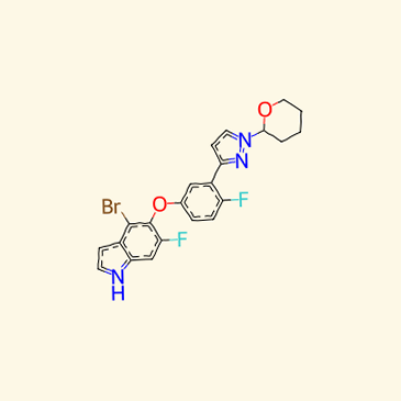 Fc1ccc(Oc2c(F)cc3[nH]ccc3c2Br)cc1-c1ccn(C2CCCCO2)n1